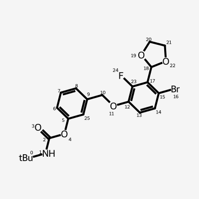 CC(C)(C)NC(=O)Oc1cccc(COc2ccc(Br)c(C3OCCO3)c2F)c1